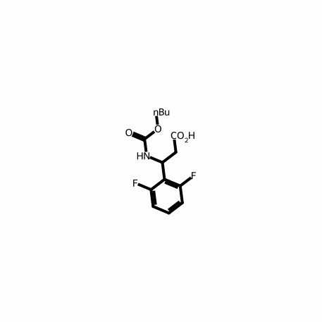 CCCCOC(=O)NC(CC(=O)O)c1c(F)cccc1F